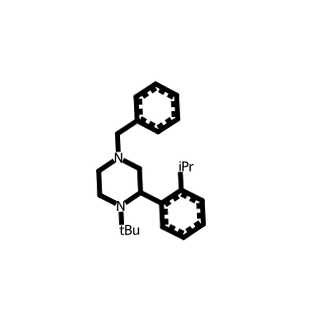 CC(C)c1ccccc1C1CN(Cc2ccccc2)CCN1C(C)(C)C